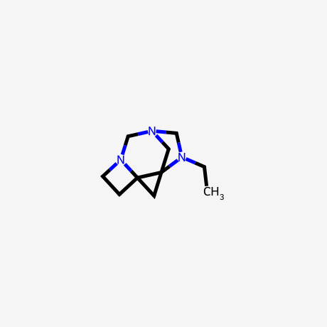 CCN1CN2CN3CCC34CC14C2